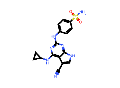 N#Cc1c[nH]c2nc(Nc3ccc(S(N)(=O)=O)cc3)nc(NC3CC3)c12